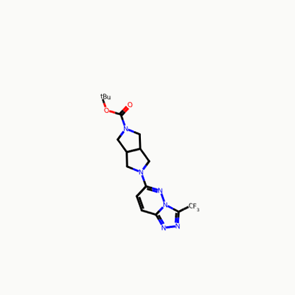 CC(C)(C)OC(=O)N1CC2CN(c3ccc4nnc(C(F)(F)F)n4n3)CC2C1